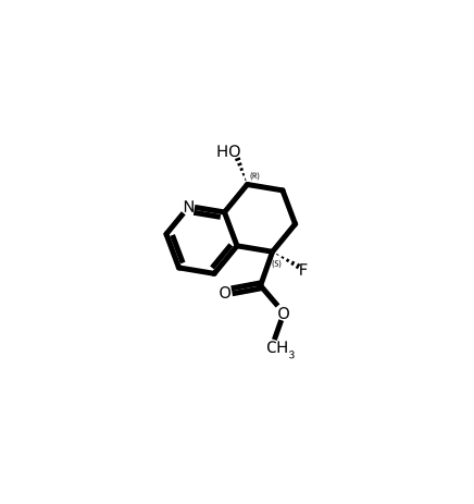 COC(=O)[C@]1(F)CC[C@@H](O)c2ncccc21